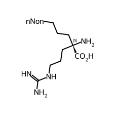 CCCCCCCCCCCC[C@](N)(CCCNC(=N)N)C(=O)O